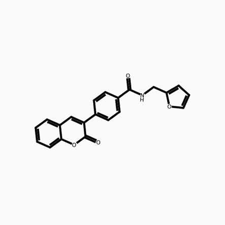 O=C(NCc1ccco1)c1ccc(-c2cc3ccccc3oc2=O)cc1